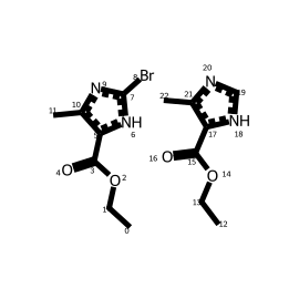 CCOC(=O)c1[nH]c(Br)nc1C.CCOC(=O)c1[nH]cnc1C